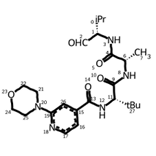 CC(C)[C@@H](C=O)NC(=O)[C@H](C)NC(=O)[C@@H](NC(=O)c1ccnc(N2CCOCC2)c1)C(C)(C)C